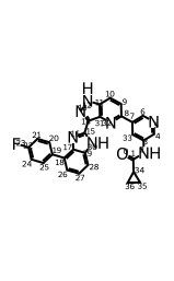 O=C(Nc1cncc(-c2ccc3[nH]nc(-c4nc5c(-c6ccc(F)cc6)cccc5[nH]4)c3n2)c1)C1CC1